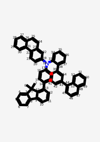 CC1(C)c2ccccc2-c2cccc(-c3ccc(N(c4ccc5c(ccc6ccccc65)c4)c4ccccc4-c4cccc(-c5cccc6ccccc56)c4)cc3)c21